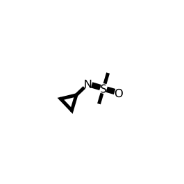 CS(C)(=O)=NC1CC1